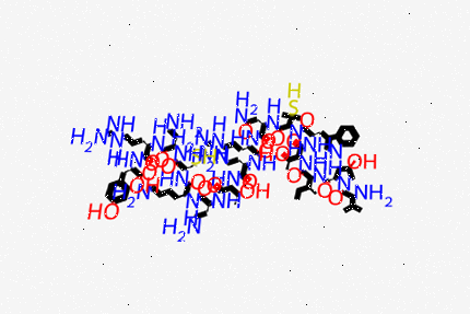 CC[C@H](C)[C@H](NC(=O)[C@@H]1C[C@@H](O)CN1C(=O)[C@@H](N)C(C)C)C(=O)N[C@H](C(=O)N[C@@H](Cc1c[nH]c2ccccc12)C(=O)N[C@H](C(=O)N[C@@H](CC(N)=O)C(=O)N[C@@H](CCCNC(=N)N)C(=O)N[C@@H](CCN)C(=O)N[C@H](C(=O)N[C@H](CCN)C(=O)N[C@@H](CCCCN)C(=O)N[C@@H](CS)C(=O)N[C@@H](CCN)C(=O)N[C@@H](CCCNC(=N)N)C(=O)N[C@@H](Cc1ccc(O)cc1)C(=O)O)[C@@H](C)O)C(C)(C)S)[C@@H](C)O